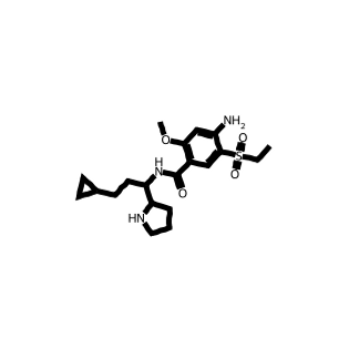 CCS(=O)(=O)c1cc(C(=O)NC(CCC2CC2)C2CCCN2)c(OC)cc1N